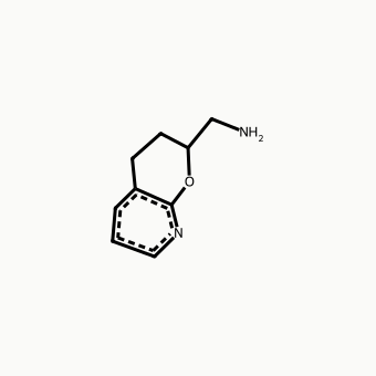 NCC1CCc2cccnc2O1